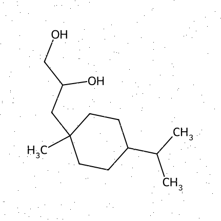 CC(C)C1CCC(C)(CC(O)CO)CC1